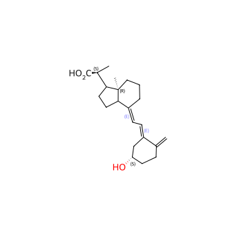 C=C1CC[C@H](O)C/C1=C\C=C1/CCC[C@@]2(C)C1CCC2[C@H](C)C(=O)O